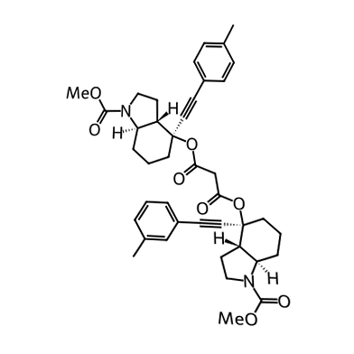 COC(=O)N1CC[C@H]2[C@H]1CCC[C@]2(C#Cc1ccc(C)cc1)OC(=O)CC(=O)O[C@@]1(C#Cc2cccc(C)c2)CCC[C@@H]2[C@@H]1CCN2C(=O)OC